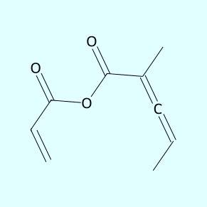 C=CC(=O)OC(=O)C(C)=C=CC